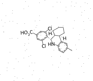 Cc1ccc2c(c1)[C@@H]1CCCC[C@@H]1[C@@H](c1c(Cl)cc(C(=O)O)cc1Cl)N2